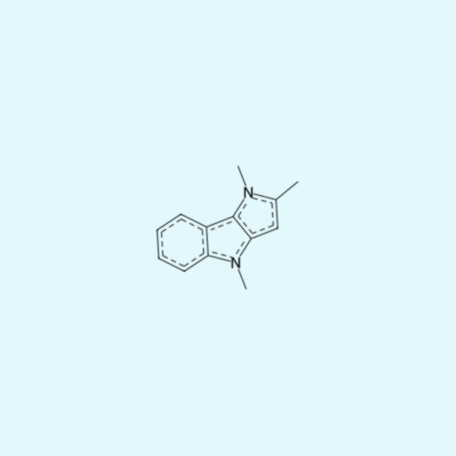 Cc1cc2c(c3ccccc3n2C)n1C